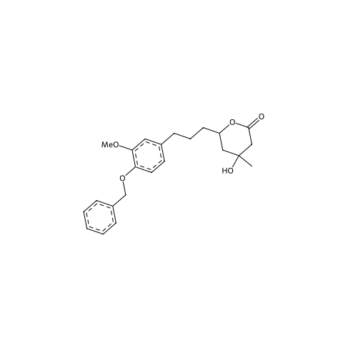 COc1cc(CCCC2CC(C)(O)CC(=O)O2)ccc1OCc1ccccc1